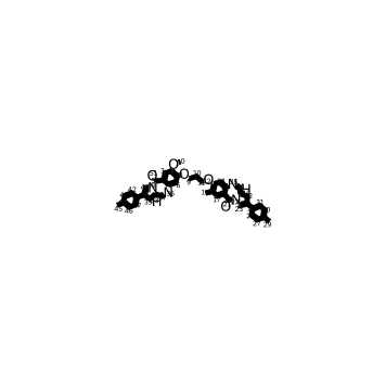 COc1cc2c(cc1OCCCOc1cc3c(cc1C)C(=O)N1C=C(c4ccc(C)cc4)C[C@H]1C=N3)N=C[C@@H]1CC(c3ccc(C)cc3)=CN1C2=O